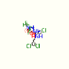 CC(C)C(NC(=O)C(NC(=O)C=Cc1cc(Cl)cc(Cl)c1)c1ccc(Cl)cc1)C(=O)C(F)(F)C(=O)NCC(F)(F)F